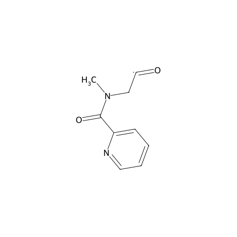 CN(C[C]=O)C(=O)c1ccccn1